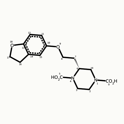 O=C(O)N1CCN(C(=O)O)[C@H](CCOc2ccc3c(c2)CCO3)C1